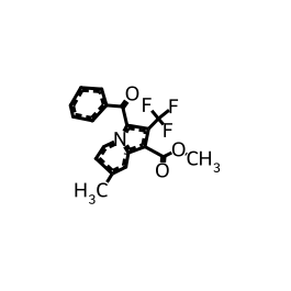 COC(=O)c1c(C(F)(F)F)c(C(=O)c2ccccc2)n2ccc(C)cc12